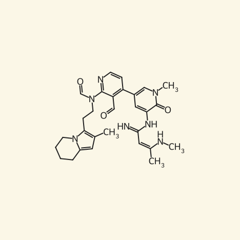 CN/C(C)=C\C(=N)Nc1cc(-c2ccnc(N(C=O)CCc3c(C)cc4n3CCCC4)c2C=O)cn(C)c1=O